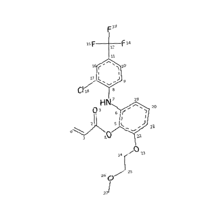 C=CC(=O)Oc1c(Nc2ccc(C(F)(F)F)cc2Cl)cccc1OCCOC